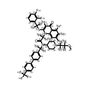 [2H]c1c(C)c([2H])c2c(c1[2H])c(=O)c([2H])c(SC([2H])([2H])c1cccc(F)c1F)n2C([2H])([2H])C(=O)N(C1CCN(C([2H])([2H])C([2H])([2H])OC)CC1)C([2H])([2H])c1ccc(-c2ccc(C(F)(F)F)cc2)cc1